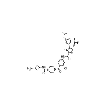 CC(C)Cn1cc(-c2cnc(C(=O)Nc3ccc(C(=O)N4CCN(C(=O)N[C@H]5C[C@@H](N)C5)CC4)c(Cl)c3)n2C)c(C(F)(F)F)n1